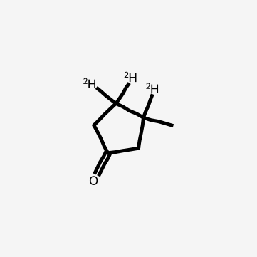 [2H]C1([2H])CC(=O)CC1([2H])C